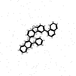 C1=Cc2cccc(-c3ccc4oc5ccc(-c6cc7ccccc7cc6-c6ccccc6)cc5c4c3)c2CC1